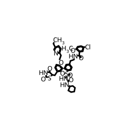 CCc1ccc(CCOc2ccc(CC3SC(=O)NC3=O)cc2)nc1.COc1ccc(Cl)cc1C(=O)NCCc1ccc(S(=O)(=O)NC(=O)NC2CCCCC2)cc1